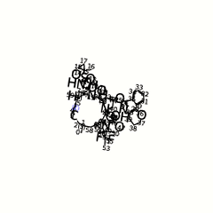 C[C@H]1CC/C=C\[C@@H]2C[C@@]2(C(=O)NS(=O)(=O)C2(C)CC2)NC(=O)[C@@H]2C[C@@H](Oc3nc4c(c5ccccc35)OCCC4)CN2C(=O)[C@@H](N(C(=O)O)C(C)(C)C(C)(F)F)[C@H](C)C1